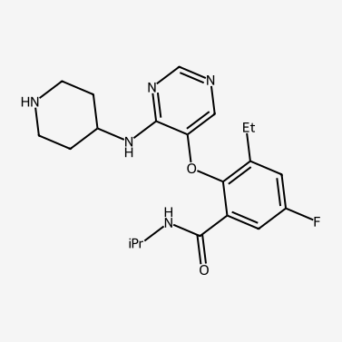 CCc1cc(F)cc(C(=O)NC(C)C)c1Oc1cncnc1NC1CCNCC1